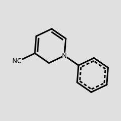 N#CC1=CC=CN(c2ccccc2)C1